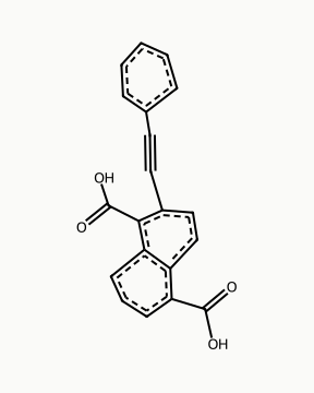 O=C(O)c1cccc2c(C(=O)O)c(C#Cc3ccccc3)ccc12